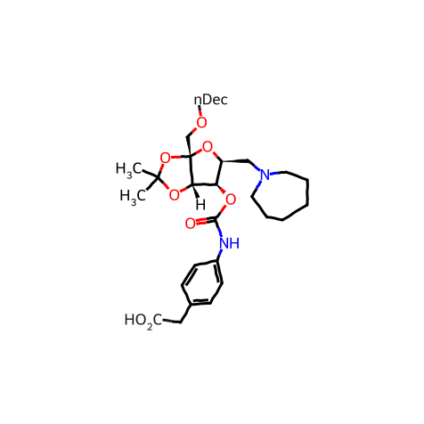 CCCCCCCCCCOC[C@@]12O[C@@H](CN3CCCCCC3)[C@@H](OC(=O)Nc3ccc(CC(=O)O)cc3)[C@@H]1OC(C)(C)O2